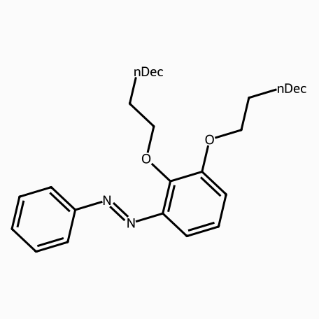 CCCCCCCCCCCCOc1cccc(N=Nc2ccccc2)c1OCCCCCCCCCCCC